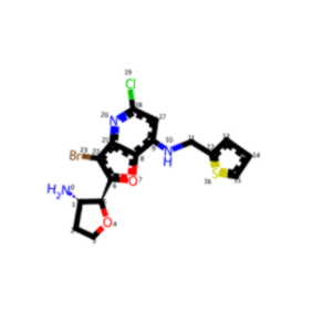 N[C@H]1CCO[C@@H]1c1oc2c(NCc3cccs3)cc(Cl)nc2c1Br